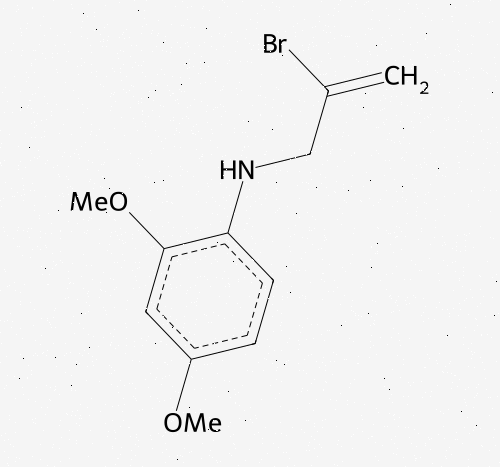 C=C(Br)CNc1ccc(OC)cc1OC